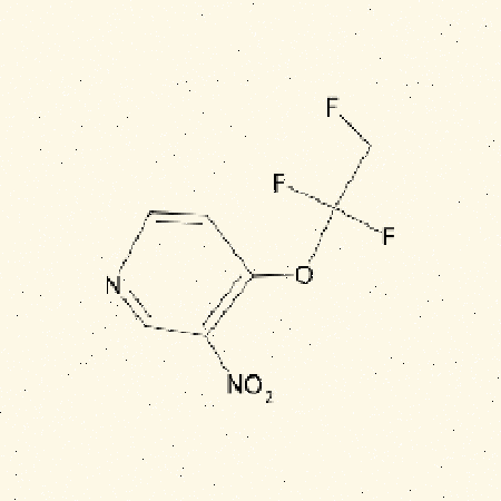 O=[N+]([O-])c1cnccc1OC(F)(F)CF